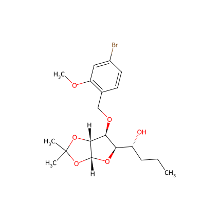 CCC[C@@H](O)[C@H]1O[C@@H]2OC(C)(C)O[C@@H]2[C@H]1OCc1ccc(Br)cc1OC